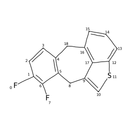 Fc1ccc2c(c1F)Cc1csc3cccc(c13)C2